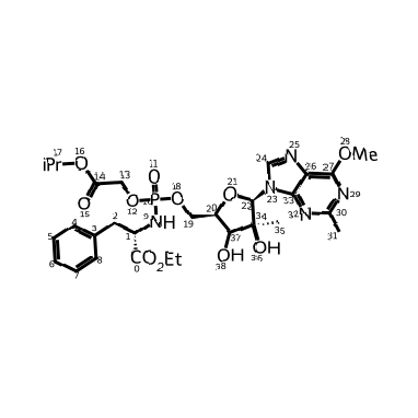 CCOC(=O)[C@H](Cc1ccccc1)NP(=O)(OCC(=O)OC(C)C)OC[C@H]1O[C@@H](n2cnc3c(OC)nc(C)nc32)[C@@](C)(O)C1O